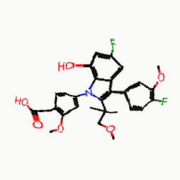 COCC(C)(C)c1c(-c2ccc(F)c(OC)c2)c2cc(F)cc(O)c2n1-c1ccc(C(=O)O)c(OC)c1